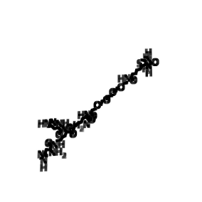 NC(=O)C(CCCCNC(=O)C(CCCCNC(=O)C(N)Cc1c[nH]cn1)NC(=O)C(N)Cc1c[nH]cn1)NC(=O)CCOCCOCCOCCOCCNC(=O)CCCCC1SC[C@H]2NC(=O)N[C@@H]12